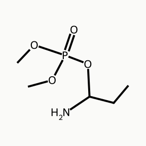 CCC(N)OP(=O)(OC)OC